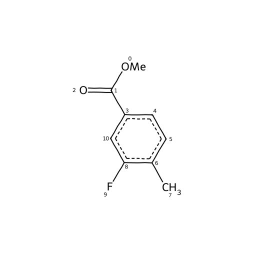 COC(=O)c1ccc(C)c(F)c1